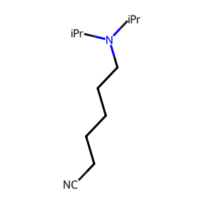 CC(C)N(CCCCCC#N)C(C)C